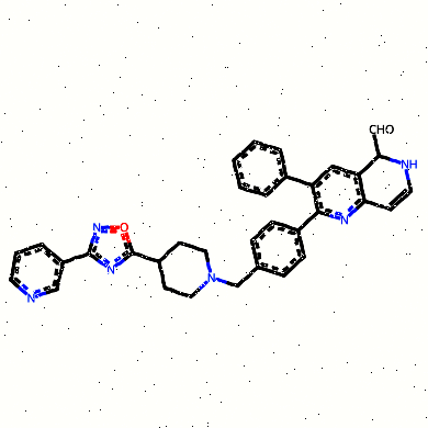 O=CC1NC=Cc2nc(-c3ccc(CN4CCC(c5nc(-c6cccnc6)no5)CC4)cc3)c(-c3ccccc3)cc21